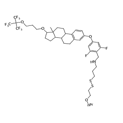 CCCOCCSSCCCNCc1c(F)cc(Oc2ccc3c(c2)CCC2C3CCC3(C)C(OCCCOC(C(F)(F)F)(C(F)(F)F)C(F)(F)F)CCC23)cc1F